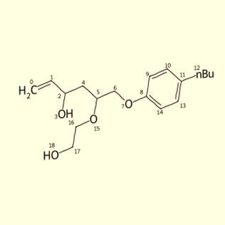 C=CC(O)CC(COc1ccc(CCCC)cc1)OCCO